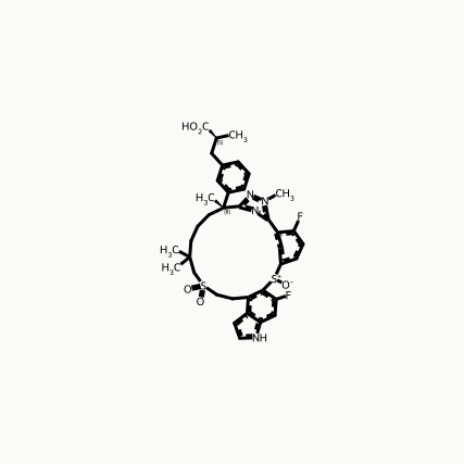 C[C@@H](Cc1cccc([C@@]2(C)CCCC(C)(C)CS(=O)(=O)CCc3c(c(F)cc4[nH]ccc34)[S+]([O-])c3ccc(F)c(c3)-c3nc2nn3C)c1)C(=O)O